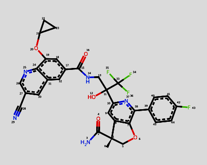 C[C@]1(C(N)=O)COc2c1cc(C(O)(CNC(=O)c1cc(OC3CC3)c3ncc(C#N)cc3c1)C(F)(F)F)nc2-c1ccc(F)cc1